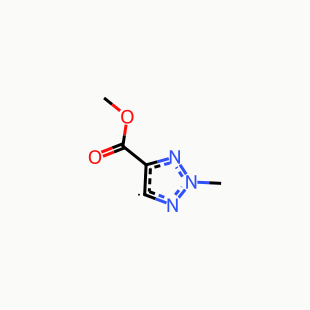 COC(=O)c1[c]nn(C)n1